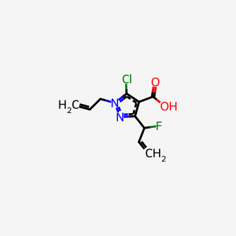 C=CCn1nc(C(F)C=C)c(C(=O)O)c1Cl